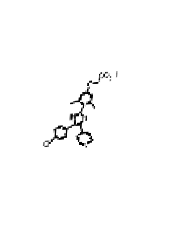 Cc1cc(OCC(=O)O)cc(C)c1-c1nc(-c2ccncc2)c(-c2ccc(Cl)cc2)[nH]1